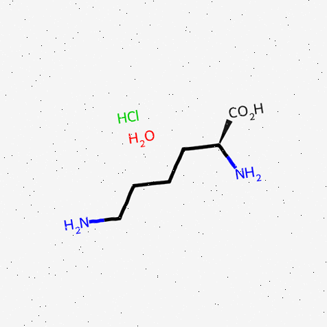 Cl.NCCCC[C@H](N)C(=O)O.O